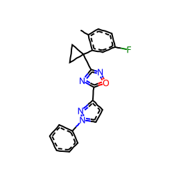 Cc1ccc(F)cc1C1(c2noc(-c3ccn(-c4ccccc4)n3)n2)CC1